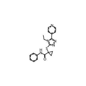 CCn1c(SC2(C(=O)Nc3ccccc3)CC2)nnc1-c1ccncc1